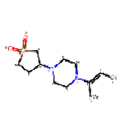 CSC(=CC#N)N1CCN(C2CCS(=O)(=O)C2)CC1